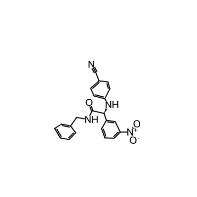 N#Cc1ccc(N[C@H](C(=O)NCc2ccccc2)c2cccc([N+](=O)[O-])c2)cc1